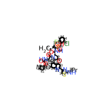 C=C[C@@H]1C[C@]1(NC(=O)[C@@H]1C[C@@H](Oc2cc(-c3csc(NC(C)C)n3)nc3cc(OC)ccc23)CN1C(=O)[C@@H](NC(=O)OC1CCCC1)C(C)(C)C)P(=O)(O)Cc1c(F)cccc1Cl